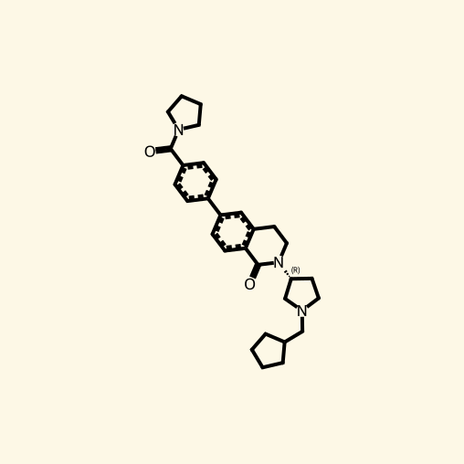 O=C(c1ccc(-c2ccc3c(c2)CCN([C@@H]2CCN(CC4CCCC4)C2)C3=O)cc1)N1CCCC1